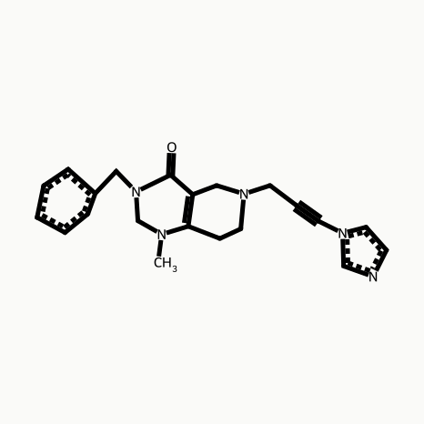 CN1CN(Cc2ccccc2)C(=O)C2=C1CCN(CC#Cn1ccnc1)C2